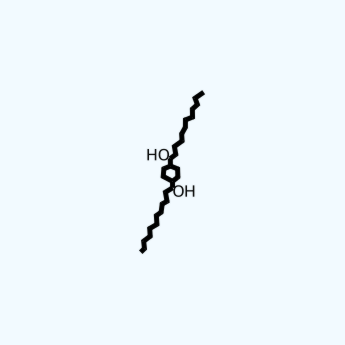 CCCCCCCCCCCC(O)C1CCC(C(O)CCCCCCCCCCC)CC1